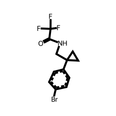 O=C(NCC1(c2ccc(Br)cc2)CC1)C(F)(F)F